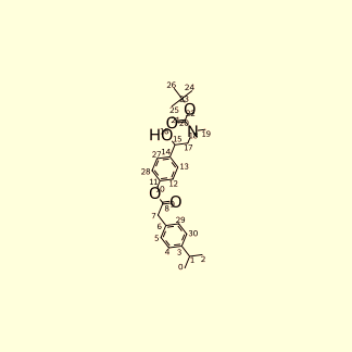 CC(C)c1ccc(CC(=O)Oc2ccc(C(O)CN(C)C(=O)OC(C)(C)C)cc2)cc1